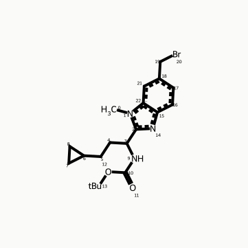 Cn1c(C(CCC2CC2)NC(=O)OC(C)(C)C)nc2ccc(CBr)cc21